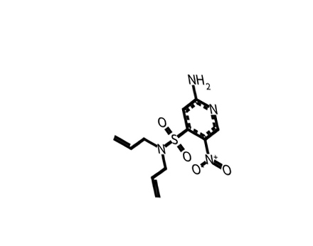 C=CCN(CC=C)S(=O)(=O)c1cc(N)ncc1[N+](=O)[O-]